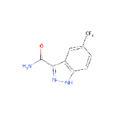 NC(=O)c1n[nH]c2ccc(C(F)(F)F)cc12